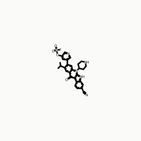 CC(C)c1cc2c(=O)c3c4ccc(C#N)cc4[nH]c3n(C3CCNCC3)c2cc1-c1cncc(OS(=O)(=O)F)c1